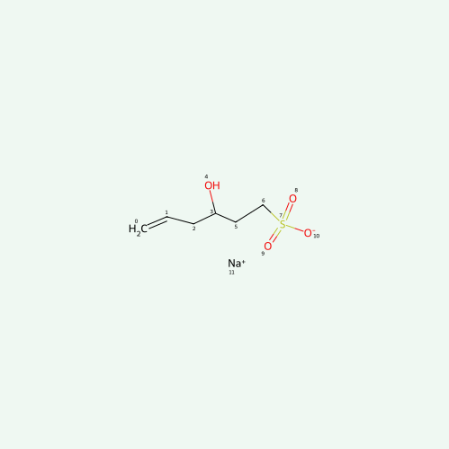 C=CCC(O)CCS(=O)(=O)[O-].[Na+]